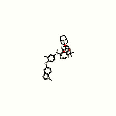 Cc1cc(Nc2ncnc3ccc(N4C5CCC4CN(C(=O)OC(C)(C)C)C5)nc23)ccc1Oc1ccc2c(c1)ncn2C